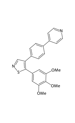 COc1cc(-c2sncc2-c2ccc(-c3ccncc3)cc2)cc(OC)c1OC